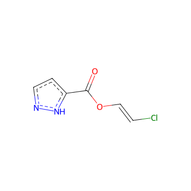 O=C(OC=CCl)c1ccn[nH]1